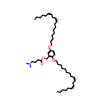 CCCCC/C=C\C/C=C\CCCCCCCCOc1ccc(OCCCCCCCC/C=C\C/C=C\CCCCC)c(COC(=O)CCCN(C)C)c1